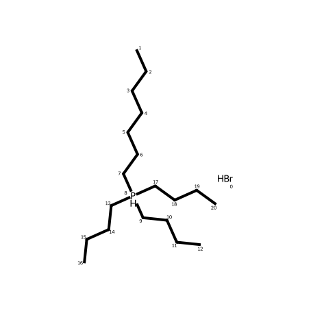 Br.CCCCCCC[PH](CCCC)(CCCC)CCCC